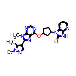 CCn1ncc(-c2nc3c(OC4CCC(n5c(=O)[nH]c6ncccc65)C4)ncnc3n2C)c1C